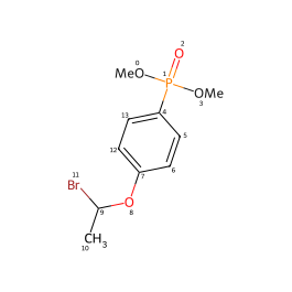 COP(=O)(OC)c1ccc(OC(C)Br)cc1